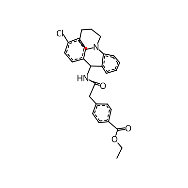 CCOC(=O)c1ccc(CC(=O)NC(c2ccc(Cl)cc2)c2ccccc2N2CCCCC2)cc1